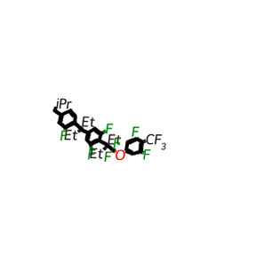 CCC(CC)(c1cc(F)c(C(CC)(CC)C(F)(F)Oc2cc(F)c(C(F)(F)F)c(F)c2)c(F)c1)c1ccc(CC(C)C)cc1F